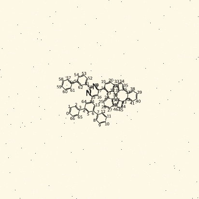 c1ccc(-c2cc(-c3ccccc3)cc(-c3cc(-c4cccc5c4-c4ccccc4C54c5ccccc5-c5ccccc5-c5ccccc54)nc(-c4cccc(-c5ccccc5)c4)n3)c2)cc1